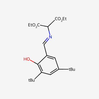 CCOC(=O)C(/N=C/c1cc(C(C)(C)C)cc(C(C)(C)C)c1O)C(=O)OCC